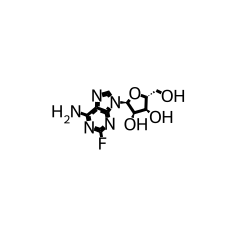 Nc1nc(F)nc2c1ncn2[C@H]1O[C@H](CO)[C@@H](O)[C@H]1O